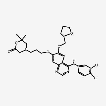 CC1(C)CN(CCCOc2cc3ncnc(Nc4ccc(F)c(Cl)c4)c3cc2OCC2CCCO2)CC(=O)O1